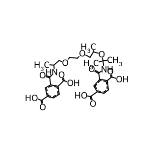 CC(COCCOCC(C)OC(C)(C)NC(=O)c1cc(C(=O)O)ccc1C(=O)O)NC(=O)c1cc(C(=O)O)ccc1C(=O)O